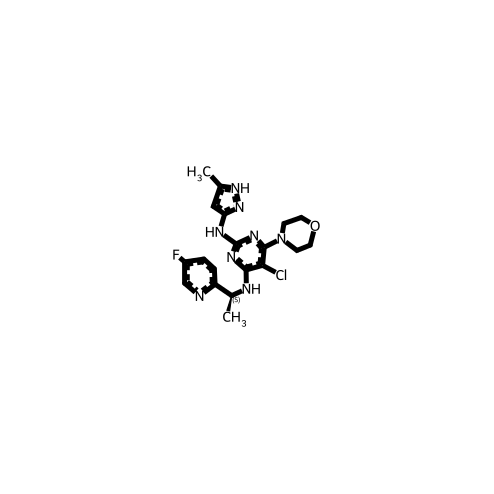 Cc1cc(Nc2nc(N[C@@H](C)c3ccc(F)cn3)c(Cl)c(N3CCOCC3)n2)n[nH]1